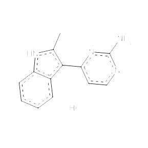 Cc1[nH]c2ccccc2c1-c1ccnc(N)n1.Cl